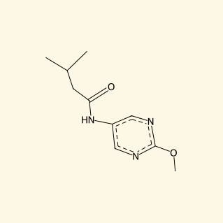 COc1ncc(NC(=O)CC(C)C)cn1